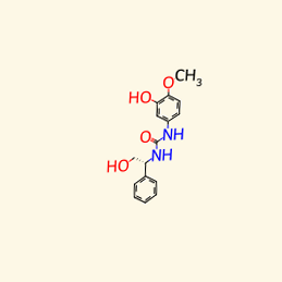 COc1ccc(NC(=O)N[C@@H](CO)c2ccccc2)cc1O